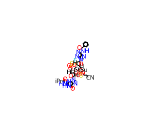 CC(C)C(=O)Nc1nc2c(ncn2[C@@H]2O[C@@H]3COP(=O)(S)O[C@H]4C(F)[C@@H](n5cnc6c(NC(=O)c7ccccc7)ncnc65)O[C@@H]4COP(=S)(OCCC#N)O[C@@H]2[C@@H]3O[Si](C)(C)C(C)(C)C)c(=O)[nH]1